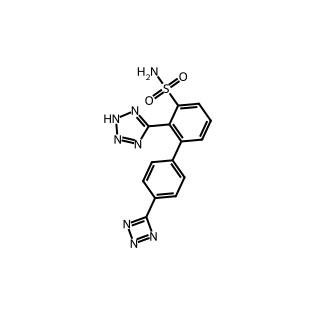 NS(=O)(=O)c1cccc(-c2ccc(C3=NN=N3)cc2)c1-c1nn[nH]n1